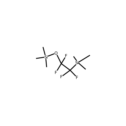 C[Si](C)(C)OC(F)(F)C(F)(F)[Si](C)(C)C